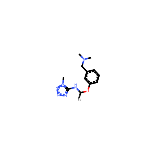 CCC(Nc1nnnn1C)Oc1cccc(CN(C)C)c1